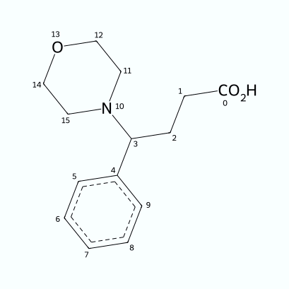 O=C(O)CCC(c1ccccc1)N1CCOCC1